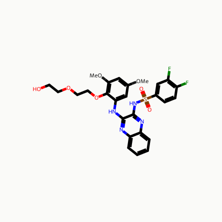 COc1cc(Nc2nc3ccccc3nc2NS(=O)(=O)c2ccc(F)c(F)c2)c(OCCOCCO)c(OC)c1